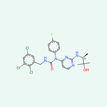 C[C@H](Nc1nccc(N(C(=O)NCc2cc(Cl)cc(Cl)c2Cl)c2ccc(F)cc2)n1)C(C)(C)O